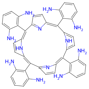 Nc1cccc(N)c1-c1c2nc(c(-c3c(N)cccc3N)c3ccc([nH]3)c(-c3c(N)cccc3N)c3nc(c(-c4c(N)cccc4N)c4ccc1[nH]4)C=C3)C=C2